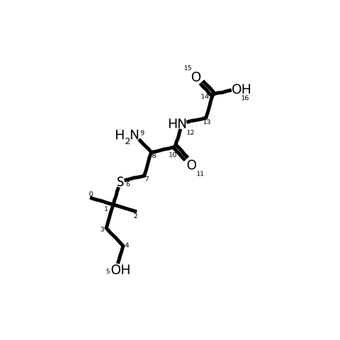 CC(C)(CCO)SCC(N)C(=O)NCC(=O)O